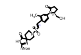 CCCCCCCCCC1=NC2(CCN(S(=O)(=O)/C=C/c3ccc(N4C(=O)CC[C@H]4CO)cc3C)CC2)C(=O)N1